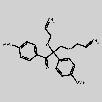 C=CCOCC(OCC=C)(C(=O)c1ccc(OC)cc1)c1ccc(OC)cc1